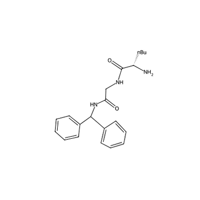 CCCC[C@H](N)C(=O)NCC(=O)NC(c1ccccc1)c1ccccc1